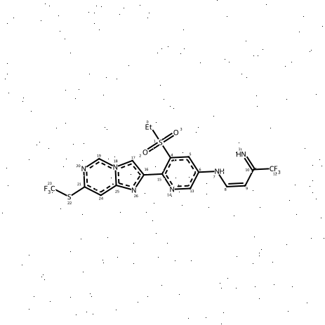 CCS(=O)(=O)c1cc(N/C=C\C(=N)C(F)(F)F)cnc1-c1cn2cnc(SC(F)(F)F)cc2n1